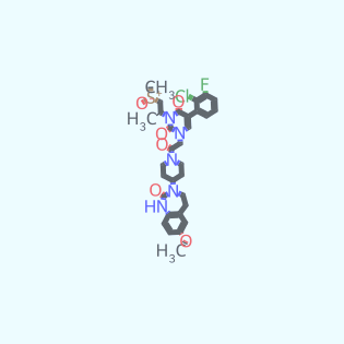 COc1ccc2c(c1)CCN(C1CCN(C(=O)Cn3cc(-c4cccc(F)c4Cl)c(=O)n([C@H](C)C[S+](C)[O-])c3=O)CC1)C(=O)N2